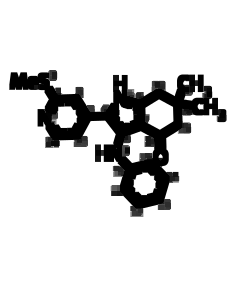 CSc1cc(-c2[nH]c3c(c2Nc2ccccc2)C(=O)CC(C)(C)C3)ccn1